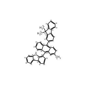 Cc1ccc2c(-c3ccc4c(c3)C(C)(C)c3ccccc3-4)c3ccccc3c(-c3cccc4c3oc3ccccc34)c2c1